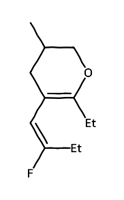 CCC1=C(/C=C(/F)CC)CC(C)CO1